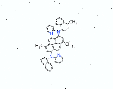 Cc1cc(N(C2=CCC(C)c3ccccc32)c2ccccn2)c2ccc3c(C)cc(N(c4ccccn4)c4cccc5ccccc45)c4ccc1c2c34